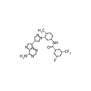 Cc1ccc(NC(=O)c2cc(F)cc(C(F)(F)F)c2)cc1-n1cc(-c2cnc3c(N)ncnn23)cn1